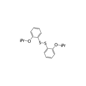 CC(C)Oc1ccccc1SSc1ccccc1OC(C)C